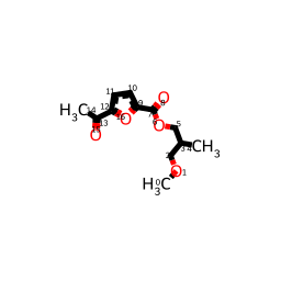 COCC(C)COC(=O)c1ccc(C(C)=O)o1